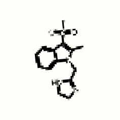 Cc1c(S(C)(=O)=O)c2ccccc2n1CC1=NCCN1